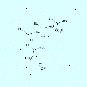 CCCCC(CC)C(=O)O.CCCCC(CC)C(=O)O.CCCCC(CC)C(=O)O.CCCCC(CC)C(=O)O.[Cl-].[Cl-].[Zr+2]